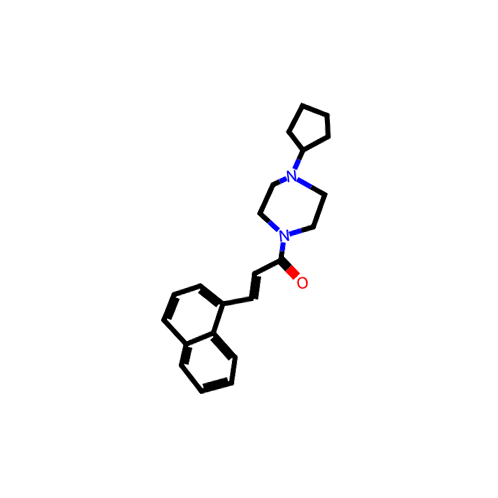 O=C(C=Cc1cccc2ccccc12)N1CCN(C2CCCC2)CC1